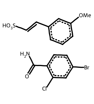 COc1cccc(/C=C/S(=O)(=O)O)c1.NC(=O)c1ccc(Br)cc1Cl